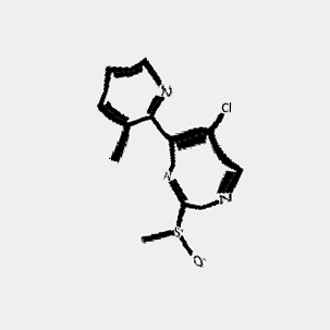 Cc1cccnc1-c1nc([S+](C)[O-])ncc1Cl